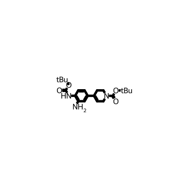 CC(C)(C)OC(=O)Nc1ccc(C2=CCN(C(=O)OC(C)(C)C)CC2)cc1N